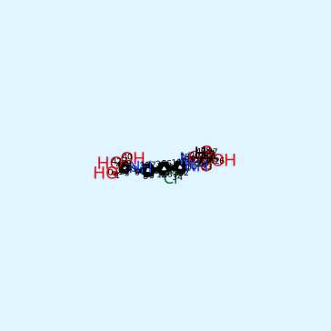 OC[C@H]1C[C@@H](NCc2ccc(-c3ccc(-c4cc5nc(O[C@@H]6COC7[C@H](O)CO[C@@H]76)[nH]c5cc4Cl)cc3)cc2)[C@H](O)[C@@H]1O